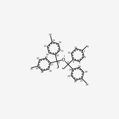 Cc1ccc(C(C)(OC(C)(c2ccc(C)cc2)c2ccc(C)cc2)c2ccc(C)cc2)cc1